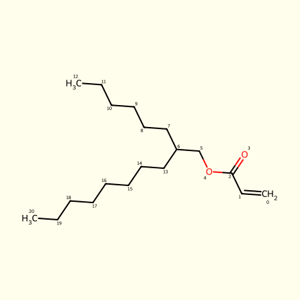 C=CC(=O)OCC(CCCCCC)CCCCCCCC